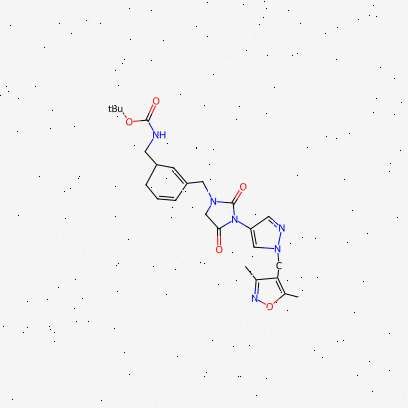 Cc1noc(C)c1Cn1cc(N2C(=O)CN(CC3=CC(CNC(=O)OC(C)(C)C)CC=C3)C2=O)cn1